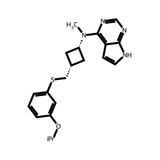 CC(C)Oc1cccc(SC[C@H]2C[C@@H](N(C)c3ncnc4[nH]ccc34)C2)c1